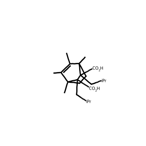 CC1=C(C)C2(C)CCC1(C)C(CC(C)C)(C(=O)O)C2(CC(C)C)C(=O)O